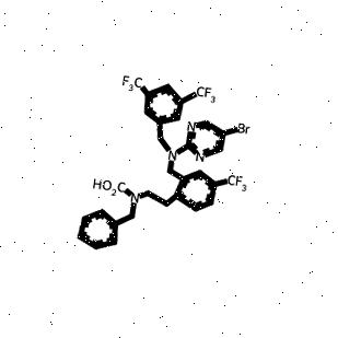 O=C(O)N(CCc1ccc(C(F)(F)F)cc1CN(Cc1cc(C(F)(F)F)cc(C(F)(F)F)c1)c1ncc(Br)cn1)Cc1ccccc1